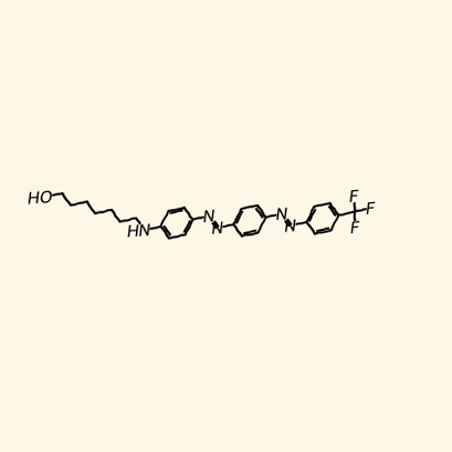 OCCCCCCCNc1ccc(N=Nc2ccc(N=Nc3ccc(C(F)(F)F)cc3)cc2)cc1